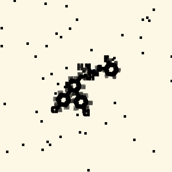 N/C(=N\Sc1ccccc1F)NCc1cnc(-c2ccc(Cl)cc2)c(-c2ccc(Cl)cc2)c1